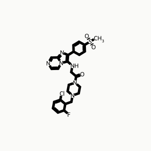 CS(=O)(=O)C1=CCC(c2nc3cnccn3c2NCC(=O)N2CCN(CC3C(Cl)=CC=CC3F)CC2)C=C1